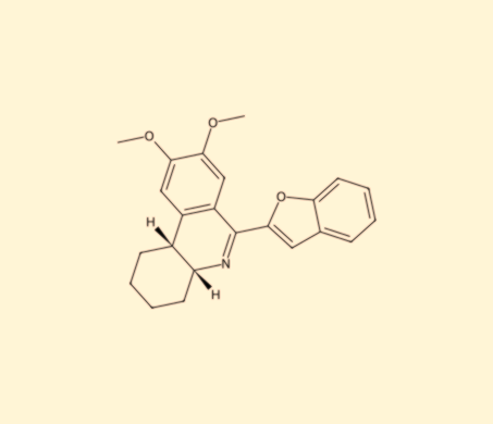 COc1cc2c(cc1OC)[C@H]1CCCC[C@H]1N=C2c1cc2ccccc2o1